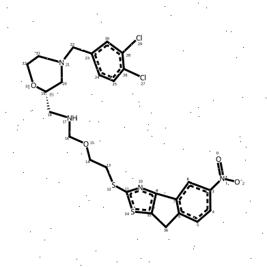 O=[N+]([O-])c1ccc2c(c1)-c1nc(SCCOCNC[C@H]3CN(Cc4ccc(Cl)c(Cl)c4)CCO3)sc1C2